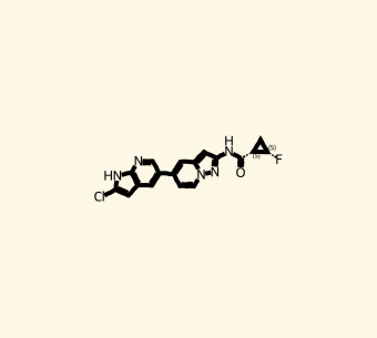 O=C(Nc1cc2cc(-c3cnc4[nH]c(Cl)cc4c3)ccn2n1)[C@@H]1C[C@@H]1F